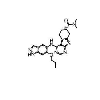 CCCOc1cc2[nH]ncc2cc1Nc1ncnc2sc3c(c12)CC[C@H](C(=O)N(C)C)C3